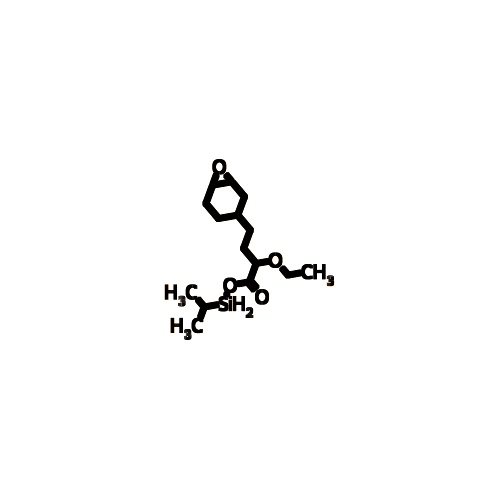 CCOC(CCC1CCC2OC2C1)C(=O)O[SiH2]C(C)C